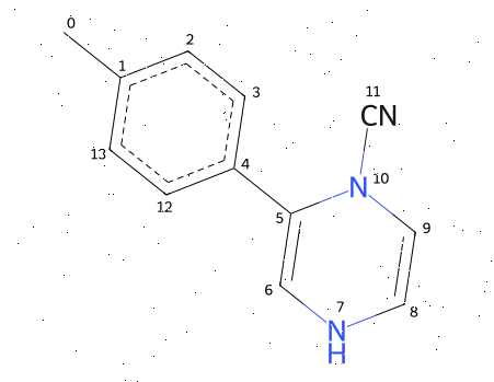 Cc1ccc(C2=CNC=CN2C#N)cc1